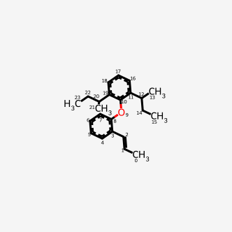 CC=Cc1ccccc1Oc1c(C(C)CC)cccc1C(C)CC